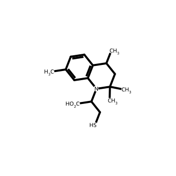 Cc1ccc2c(c1)N(C(CS)C(=O)O)C(C)(C)CC2C